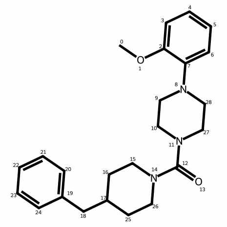 COc1ccccc1N1CCN(C(=O)N2CCC(Cc3ccccc3)CC2)CC1